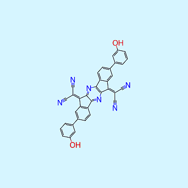 N#CC(C#N)=C1c2cc(-c3cccc(O)c3)ccc2-c2nc3c(nc21)-c1ccc(-c2cccc(O)c2)cc1C3=C(C#N)C#N